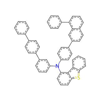 c1ccc(-c2ccc(-c3cccc(N(c4ccc(-c5ccc6cccc(-c7ccccc7)c6c5)cc4)c4cccc5sc6ccccc6c45)c3)cc2)cc1